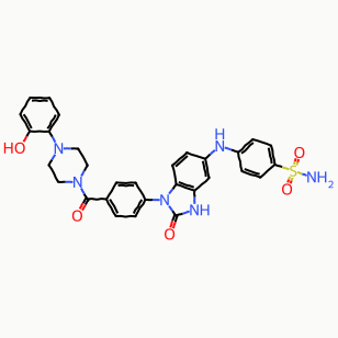 NS(=O)(=O)c1ccc(Nc2ccc3c(c2)[nH]c(=O)n3-c2ccc(C(=O)N3CCN(c4ccccc4O)CC3)cc2)cc1